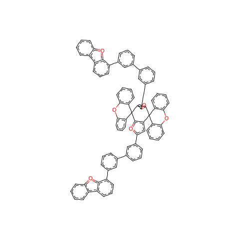 c1cc(-c2cccc(-c3cccc4c3oc3ccccc34)c2)cc(-c2cc3c(o2)C2(c4ccccc4Oc4ccccc42)c2cc(-c4cccc(-c5cccc(-c6cccc7c6oc6ccccc67)c5)c4)oc2C32c3ccccc3Oc3ccccc32)c1